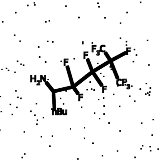 CCCCC(N)C(F)(F)C(F)(F)C(F)(C(F)(F)F)C(F)(F)F